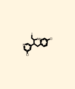 NC(CI)C(Cc1ccc(Cl)cc1)c1cncc(Cl)c1